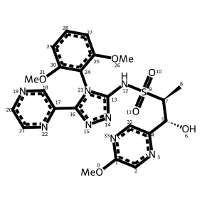 COc1cnc([C@@H](O)[C@H](C)S(=O)(=O)Nc2nnc(-c3cnccn3)n2-c2c(OC)cccc2OC)cn1